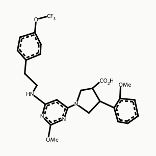 COc1nc(NCCc2ccc(OC(F)(F)F)cc2)cc(N2CC(C(=O)O)C(c3ccccc3OC)C2)n1